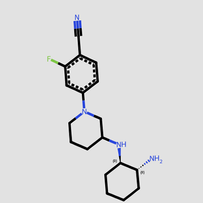 N#Cc1ccc(N2CCCC(N[C@@H]3CCCC[C@H]3N)C2)cc1F